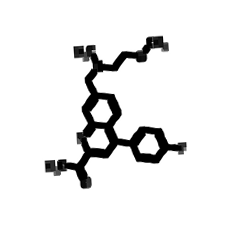 COCCN(C)Cc1ccc2c(-c3ccc(F)cc3)cc(C(C)=O)nc2c1